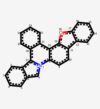 c1ccc2c(c1)cn1c3ccc4c5ccccc5oc4c3c3ccccc3c21